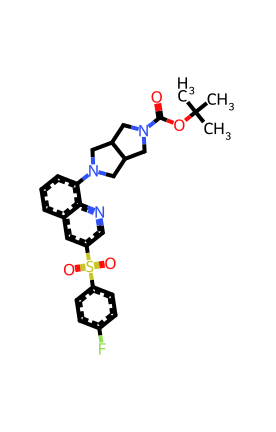 CC(C)(C)OC(=O)N1CC2CN(c3cccc4cc(S(=O)(=O)c5ccc(F)cc5)cnc34)CC2C1